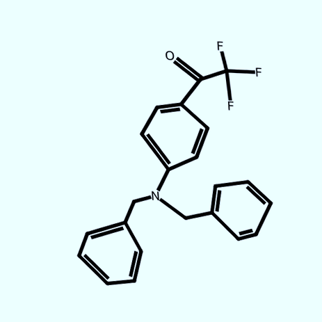 O=C(c1ccc(N(Cc2ccccc2)Cc2ccccc2)cc1)C(F)(F)F